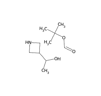 CC(C)(C)OC=O.CC(O)C1CNC1